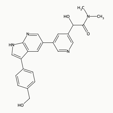 CN(C)C(=O)C(O)c1cncc(-c2cnc3[nH]cc(-c4ccc(CO)cc4)c3c2)c1